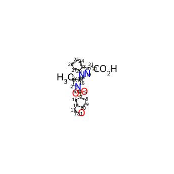 C[C@@H]1CN(S(=O)(=O)c2ccc3occc3c2)C[C@@H]1n1nc(CC(=O)O)c2ccccc21